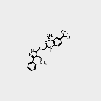 CCn1c(SCC(=O)Nc2ccc(C(C)C)cc2OC)nnc1-c1ccccc1